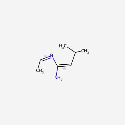 C/C=N\C(N)=C/C(C)C